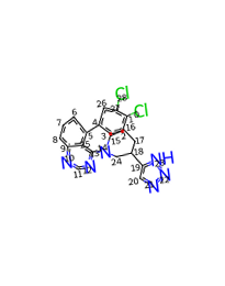 Clc1ccc(-c2cccc3ncnc(N4CCCC(c5cnn[nH]5)C4)c23)cc1Cl